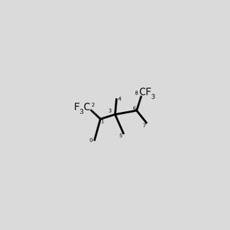 CC(C(F)(F)F)C(C)(C)C(C)C(F)(F)F